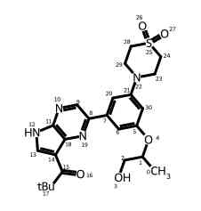 CC(CO)Oc1cc(-c2cnc3[nH]cc(C(=O)C(C)(C)C)c3n2)cc(N2CCS(=O)(=O)CC2)c1